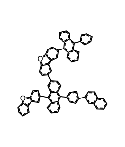 c1ccc(-c2c3ccccc3c(-c3ccc4oc5ccc(-c6ccc7c(-c8ccc(-c9ccc%10ccccc%10c9)cc8)c8ccccc8c(-c8ccc9oc%10ccccc%10c9c8)c7c6)cc5c4c3)c3ccccc23)cc1